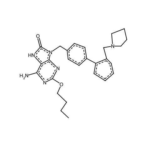 CCCCOc1nc(N)c2[nH]c(=O)n(Cc3ccc(-c4ccccc4CN4CCCC4)cc3)c2n1